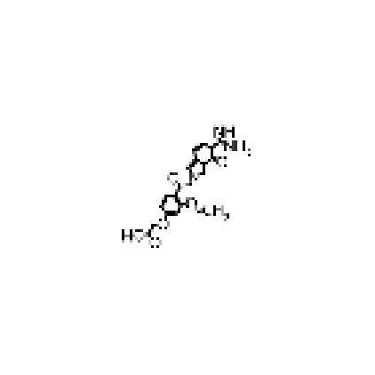 CCOc1cc(OCC(=O)O)ccc1C(=O)CN1C=C2C=CC(C(=N)N)C(=O)C2C1